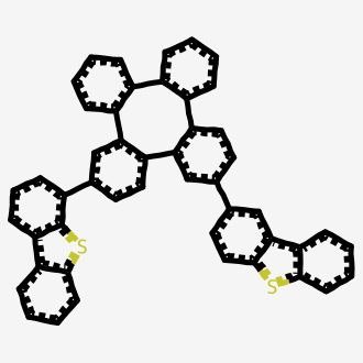 c1ccc2c(c1)-c1ccccc1-c1cc(-c3cccc4c3sc3ccccc34)ccc1-c1cc(-c3ccc4sc5ccccc5c4c3)ccc1-2